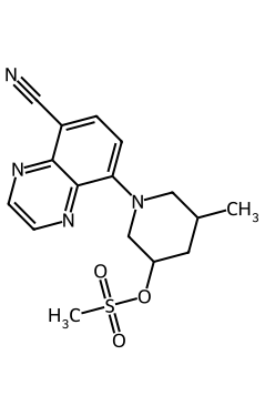 CC1CC(OS(C)(=O)=O)CN(c2ccc(C#N)c3nccnc23)C1